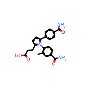 Cc1cc(C(N)=O)ccc1-n1c(CCC(=O)O)ccc1-c1ccc(C(N)=O)cc1